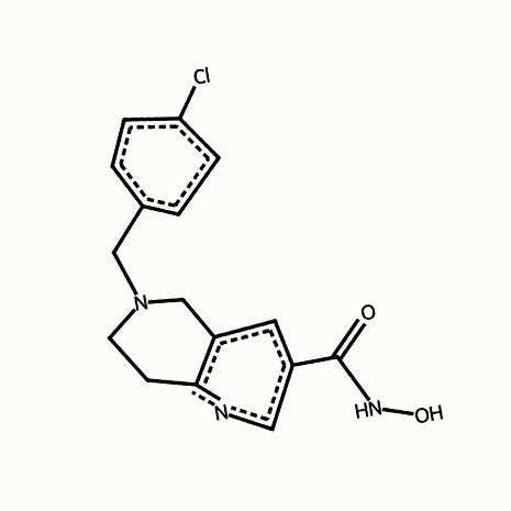 O=C(NO)c1cnc2c(c1)CN(Cc1ccc(Cl)cc1)CC2